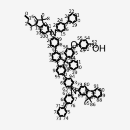 C=C/C=C\C1=C(C)C(C)(C)c2cc(N(c3ccc(-c4ccccc4)cc3)c3ccc(-c4ccc5c(c4)C(c4ccccc4)(c4ccc(Oc6ccc(CO)cc6)cc4)c4cc(-c6ccc(N(c7ccc(-c8ccccc8)cc7)c7ccc8c(c7)C(C)(C)c7ccccc7-8)cc6)ccc4-5)cc3)ccc21